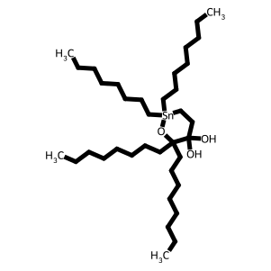 CCCCCCCCC1(CCCCCCCC)[O][Sn]([CH2]CCCCCCC)([CH2]CCCCCCC)[CH2]CC1(O)O